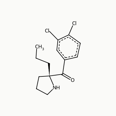 CCC[C@]1(C(=O)c2ccc(Cl)c(Cl)c2)CCCN1